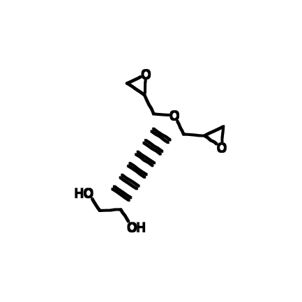 C(OCC1CO1)C1CO1.C=C.C=C.C=C.C=C.C=C.C=C.OCCO